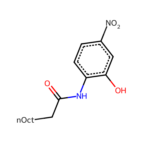 CCCCCCCCCC(=O)Nc1ccc([N+](=O)[O-])cc1O